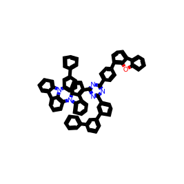 c1ccc(-c2cccc(-c3cccc(-c4nc(-c5ccc(-c6cccc7c6oc6ccccc67)cc5)nc(-c5cccc6c5c5ccccc5n6-c5cccc6c7ccccc7n(-c7cccc(-c8ccccc8)c7)c56)n4)c3)c2)cc1